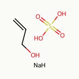 C=CCO.O=S(=O)(O)O.[NaH]